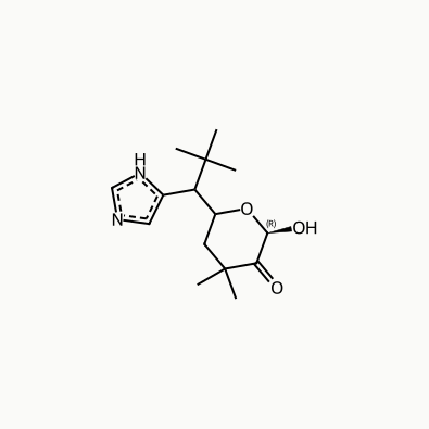 CC1(C)CC(C(c2cnc[nH]2)C(C)(C)C)O[C@@H](O)C1=O